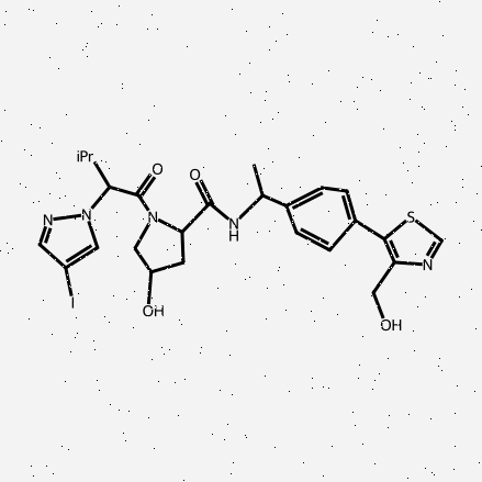 CC(NC(=O)C1CC(O)CN1C(=O)C(C(C)C)n1cc(I)cn1)c1ccc(-c2scnc2CO)cc1